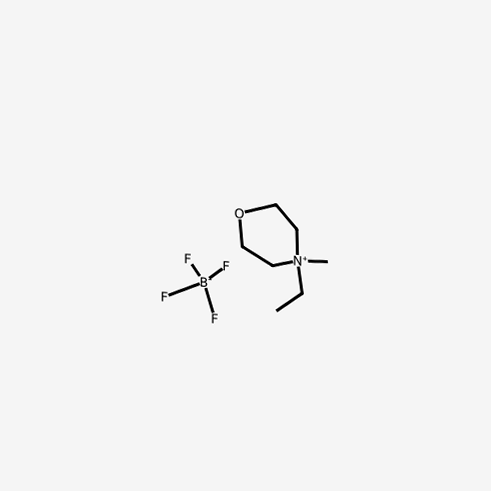 CC[N+]1(C)CCOCC1.F[B-](F)(F)F